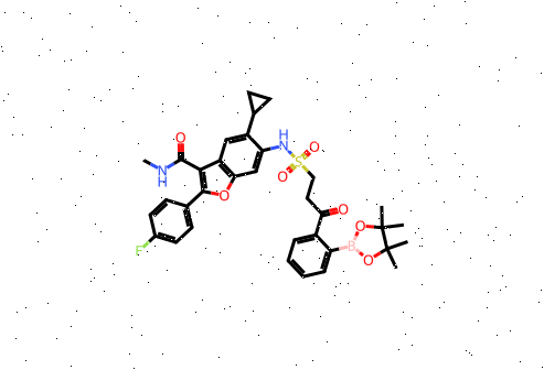 CNC(=O)c1c(-c2ccc(F)cc2)oc2cc(NS(=O)(=O)CCC(=O)c3ccccc3B3OC(C)(C)C(C)(C)O3)c(C3CC3)cc12